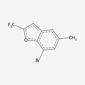 Cc1cc(Br)c2oc(C(F)(F)F)cc2c1